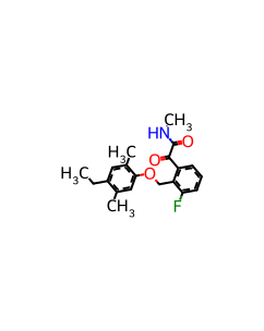 CCc1cc(C)c(OCc2c(F)cccc2C(=O)C(=O)NC)cc1C